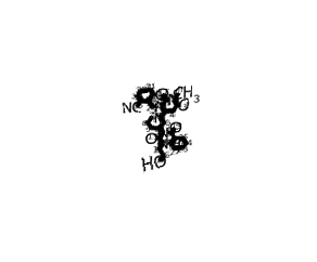 Cn1c(=O)cc(N2CCCC(N(C(=O)NCCO)C(=O)c3ccccc3)C2)n(Cc2ccccc2C#N)c1=O